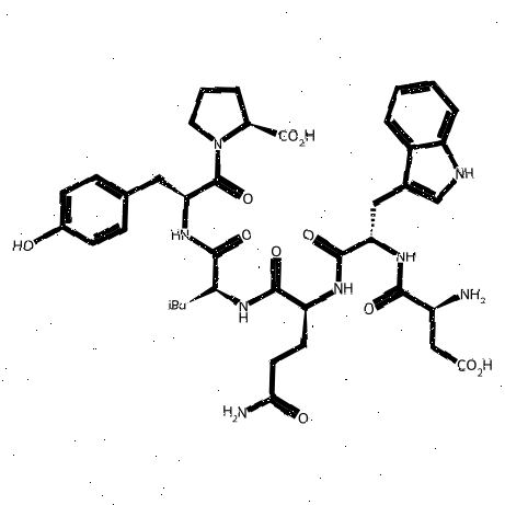 CC[C@H](C)[C@H](NC(=O)[C@H](CCC(N)=O)NC(=O)[C@H](Cc1c[nH]c2ccccc12)NC(=O)[C@@H](N)CC(=O)O)C(=O)N[C@@H](Cc1ccc(O)cc1)C(=O)N1CCC[C@H]1C(=O)O